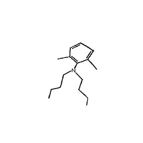 CCCCN(CCCC)c1c(C)cccc1C